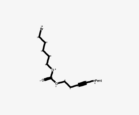 CCCCCC#CCCOC(=O)OCCCCCBr